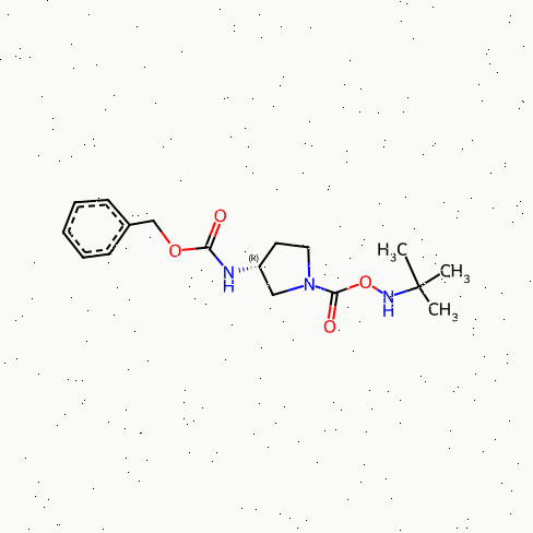 CC(C)(C)NOC(=O)N1CC[C@@H](NC(=O)OCc2ccccc2)C1